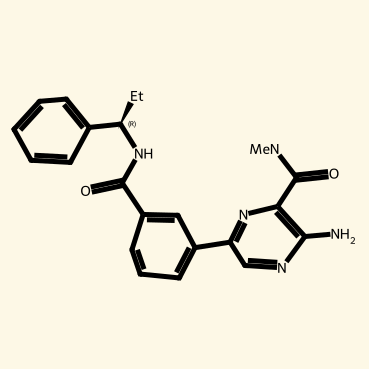 CC[C@@H](NC(=O)c1cccc(-c2cnc(N)c(C(=O)NC)n2)c1)c1ccccc1